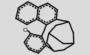 Clc1cccc2c1-c1c(ccc3ccccc13)C1CC3CC(CC2C3)C1